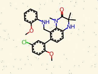 COc1ccccc1NCc1c(-c2cc(Cl)ccc2OC)ccc2c1N(C)C(=O)C(C)(C)N2